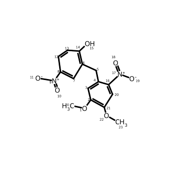 COc1cc(Cc2cc([N+](=O)[O-])ccc2O)c([N+](=O)[O-])cc1OC